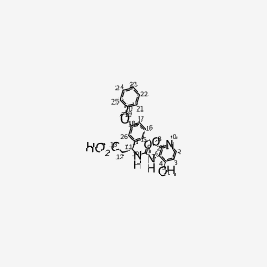 Cn1ccc(O)c(NC(=O)N[C@@H](CC(=O)O)c2cccc(Oc3ccccc3)c2)c1=O